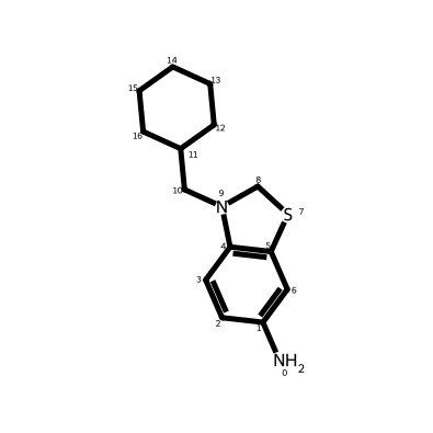 Nc1ccc2c(c1)SCN2CC1CCCCC1